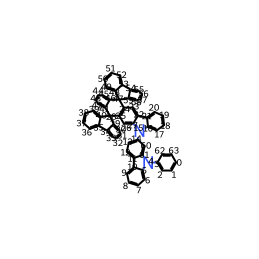 c1ccc(-n2c3ccccc3c3ccc(-n4c5ccccc5c5cc6c(cc54)C4(c5ccccc5-c5ccccc54)c4ccccc4C64c5ccccc5-c5ccccc54)cc32)cc1